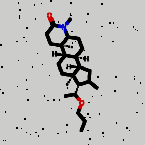 CCCOC(C)[C@H]1C(C)C[C@H]2[C@@H]3CCC4N(C)C(=O)CC[C@]4(C)[C@H]3CC[C@]12C